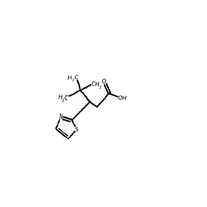 CC(C)(C)C(CC(=O)O)c1nccs1